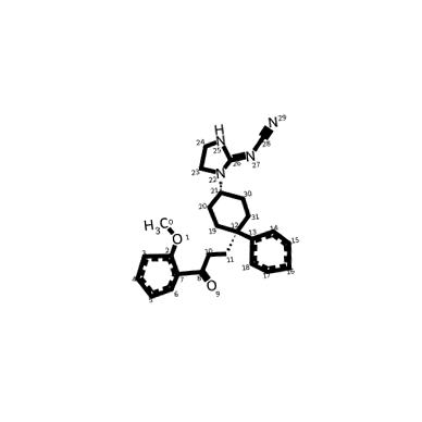 COc1ccccc1C(=O)CC[C@]1(c2ccccc2)CC[C@H](N2CCN/C2=N\C#N)CC1